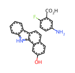 Nc1ccc(F)c(C(=O)O)c1.Oc1ccc2ccc3c4ccccc4[nH]c3c2c1